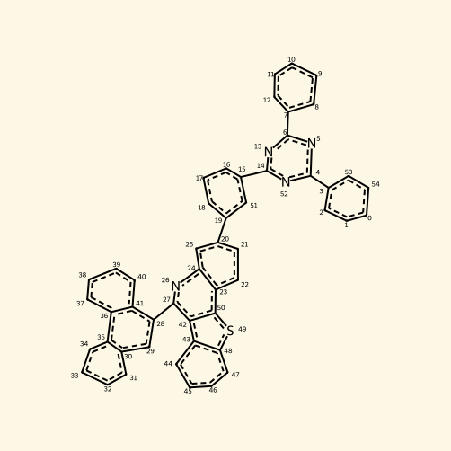 c1ccc(-c2nc(-c3ccccc3)nc(-c3cccc(-c4ccc5c(c4)nc(-c4cc6ccccc6c6ccccc46)c4c6ccccc6sc54)c3)n2)cc1